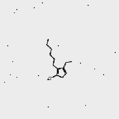 CCCCCCC1=[C]([Zr])CC=C1CC